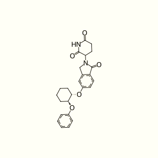 O=C1CCC(N2Cc3cc(O[C@H]4CCCC[C@@H]4Oc4ccccc4)ccc3C2=O)C(=O)N1